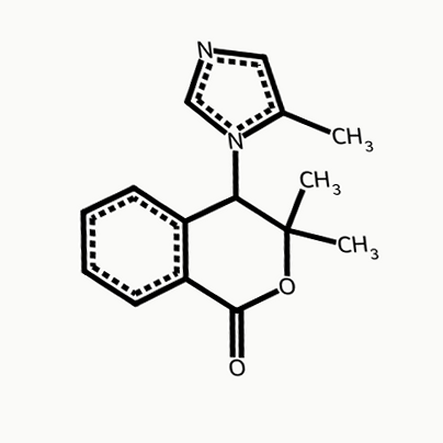 Cc1cncn1C1c2ccccc2C(=O)OC1(C)C